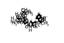 CC(C)(C)[C@H](OCc1cn([C@H]2C[C@@H](O[Si](C)(C)C(C)(C)C)[C@@H](CO[Si](C)(C)C(C)(C)C)O2)c(=O)[nH]c1=O)c1ccccc1[N+](=O)[O-]